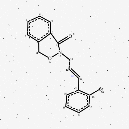 O=C1c2ccccc2CON1C/C=C/c1ccccc1Br